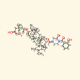 C=C(C)[C@@H]1CC[C@]2(CC(=O)N3CCN(C(=O)c4ccccc4O)C(=O)C3)CC[C@]3(C)[C@H](CC[C@@H]4[C@@]5(C)CC[C@H](OC(=O)CC(C)(C)CC(=O)O)C(C)(C)[C@@H]5CC[C@]43C)[C@@H]12